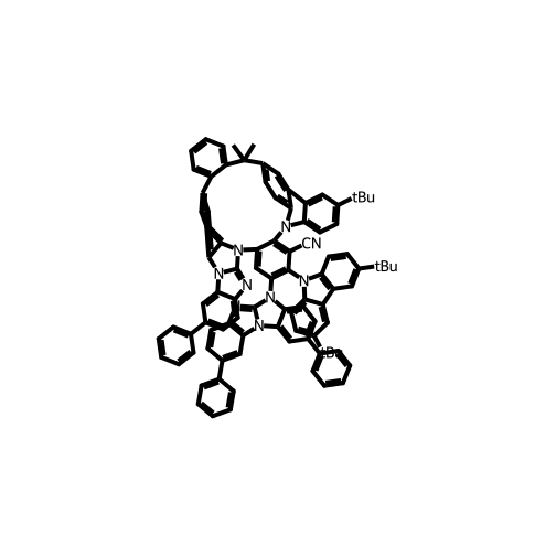 CC(C)(C)c1ccc2c(c1)c1cc(C(C)(C)C)ccc1n2-c1c(-n2c3ccc(-c4ccccc4)cc3n3c4cc(-c5ccccc5)ccc4nc23)cc2c(c1C#N)-n1c3ccc(C(C)(C)C)cc3c3cc(ccc31)C(C)(C)c1ccccc1-c1ccc3c(c1)n1c4cc(-c5ccccc5)ccc4nc1n3-2